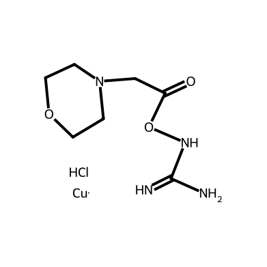 Cl.N=C(N)NOC(=O)CN1CCOCC1.[Cu]